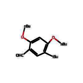 CCCCOc1cc(OCCCC)c(C(C)(C)C)cc1C=O